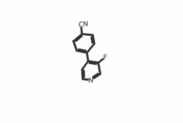 N#Cc1ccc(-c2ccncc2F)cc1